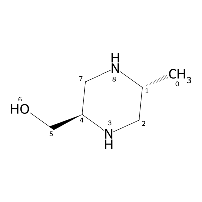 C[C@@H]1CN[C@@H](CO)CN1